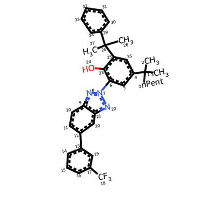 CCCCCC(C)(C)c1cc(-n2nc3ccc(-c4cccc(C(F)(F)F)c4)cc3n2)c(O)c(C(C)(C)c2ccccc2)c1